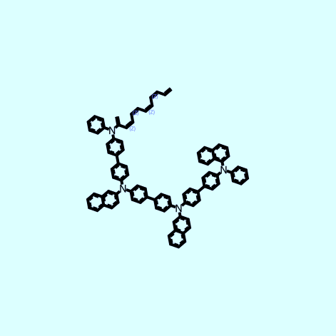 C=C\C=C/C=C\C=C/C=C\C(=C)N(c1ccccc1)c1ccc(-c2ccc(N(c3ccc(-c4ccc(N(c5ccc(-c6ccc(N(c7ccccc7)c7cccc8ccccc78)cc6)cc5)c5ccc6ccccc6c5)cc4)cc3)c3ccc4ccccc4c3)cc2)cc1